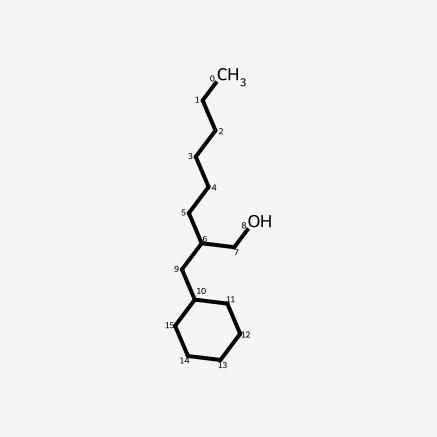 CCCCCCC(CO)CC1CCCCC1